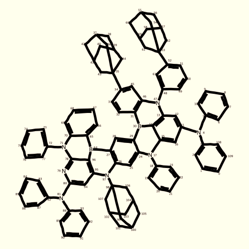 c1ccc(N(c2ccccc2)c2cc3c4c(c2)N(c2ccccc2)c2cc5c(cc2B4c2ccc(C46CC7CC(CC(C7)C4)C6)cc2N3c2cccc(C34CC6CC(CC(C6)C3)C4)c2)B2c3ccccc3N(c3ccccc3)c3nc(N(c4ccccc4)c4ccccc4)cc(c32)N5C23CC4CC(CC(C4)C2)C3)cc1